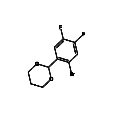 Fc1cc(Br)c(C2OCCCO2)cc1F